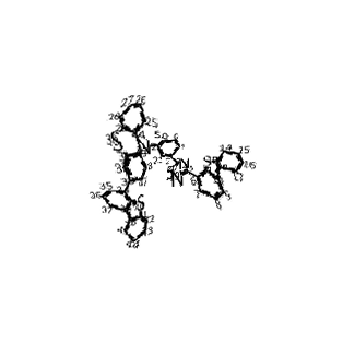 c1cc(-c2nc(-c3cccc4c3sc3ccccc34)ns2)cc(N2c3ccccc3Sc3cc(-c4cccc5c4sc4ccccc45)ccc32)c1